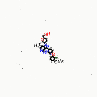 COc1cccc(Oc2ccc(-c3nn(C4CCC(CO)OC4)c4c(C)cnc(N)c34)cc2)c1F